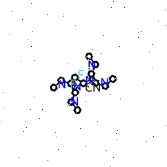 N#Cc1cc(-n2c3ccc(-c4cccc(-c5ccccc5)n4)cc3c3cc(-c4cccc(-c5ccccc5)n4)ccc32)c(-c2c(F)cccc2F)cc1-n1c2ccc(-c3cccc(-c4ccccc4)n3)cc2c2cc(-c3cccc(-c4ccccc4)n3)ccc21